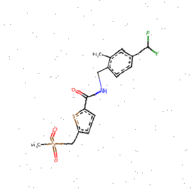 Cc1cc(C(F)F)ccc1CNC(=O)c1ccc(CS(C)(=O)=O)s1